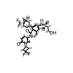 O=C(Nc1ccc(=O)n(C2CC(F)(F)C2)n1)c1c(F)cc(NS(=O)(=O)CCO)cc1N1CC[C@@]2(C(F)F)C[C@H]2C1